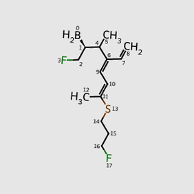 B[C@H](CF)C(C)/C(C=C)=C/C=C(\C)SCCCF